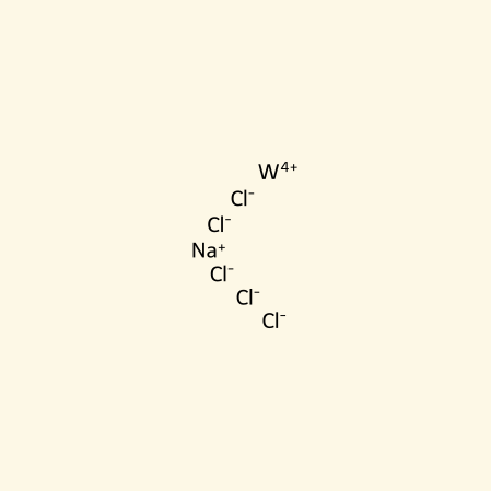 [Cl-].[Cl-].[Cl-].[Cl-].[Cl-].[Na+].[W+4]